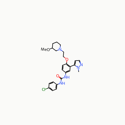 COC1CCCN(CCOc2ccc(NC(=O)Nc3ccc(Cl)cc3)cc2-c2ccnn2C)C1